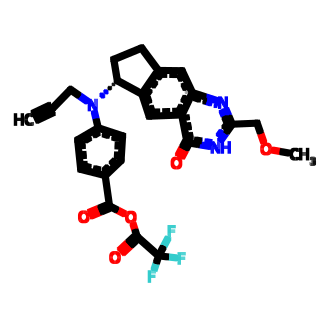 C#CCN(c1ccc(C(=O)OC(=O)C(F)(F)F)cc1)[C@@H]1CCc2cc3nc(COC)[nH]c(=O)c3cc21